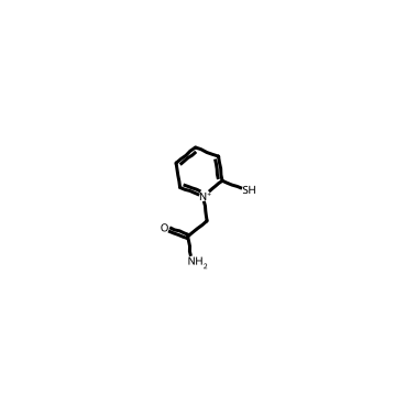 NC(=O)C[n+]1ccccc1S